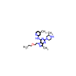 CCCOCCn1nc(C)c2nc(N3CCN[C@H](C)C3)nc(Nc3cc(C)ccn3)c21